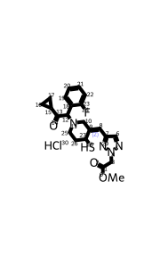 COC(=O)Cn1ncc(/C=C2/CN(C(C(=O)C3CC3)c3ccccc3F)CCC2S)n1.Cl